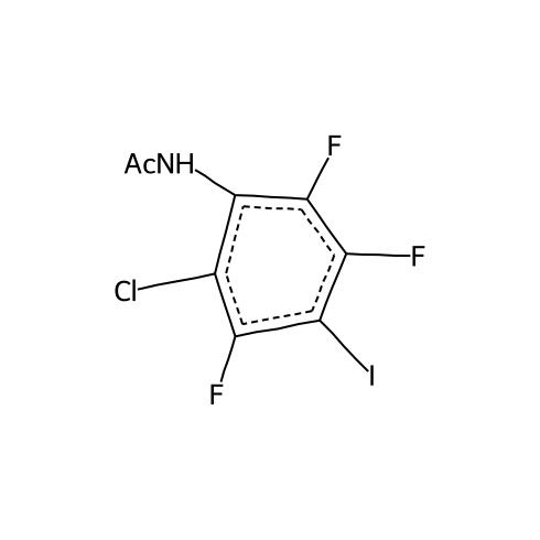 CC(=O)Nc1c(F)c(F)c(I)c(F)c1Cl